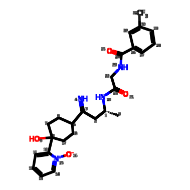 C[C@H](CC(=N)C1CCC(O)(c2cccc[n+]2[O-])CC1)NC(=O)CNC(=O)c1cccc(C(F)(F)F)c1